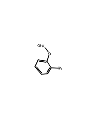 CC(C)c1ccccc1OC=O